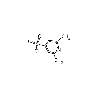 Cc1cc(S(=O)(=O)Cl)cc(C)n1